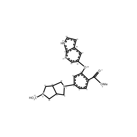 COC(=O)c1ccc(N2CC3CN(C(=O)O)CC3C2)cc1Oc1cnc2[nH]ccc2c1